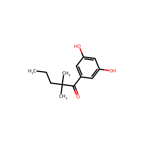 CCCC(C)(C)C(=O)c1cc(O)cc(O)c1